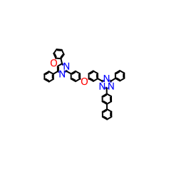 c1ccc(-c2ccc(-c3nc(-c4ccccc4)nc(-c4cccc(Oc5ccc(-c6nc(-c7ccccc7)c7oc8ccccc8c7n6)cc5)c4)n3)cc2)cc1